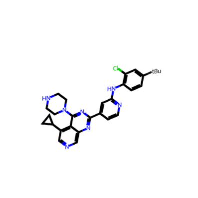 CC(C)(C)c1ccc(Nc2cc(-c3nc(N4CCNCC4)c4c(C5CC5)cncc4n3)ccn2)c(Cl)c1